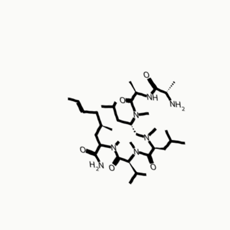 C/C=C/C[C@@H](C)CC(C(N)=O)N(C)C(=O)[C@H](C(C)C)N(C)C(=O)[C@H](CC(C)C)N(C)C[C@H](CC(C)C)N(C)C(=O)[C@@H](C)NC(=O)[C@H](C)N